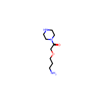 NCCCOCC(=O)N1CCNCC1